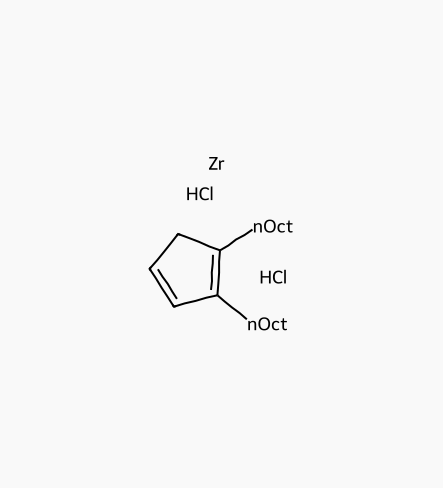 CCCCCCCCC1=C(CCCCCCCC)CC=C1.Cl.Cl.[Zr]